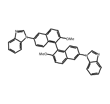 COc1ccc2cc(-n3cnc4ccccc43)ccc2c1-c1c(OC)ccc2cc(-n3cnc4ccccc43)ccc12